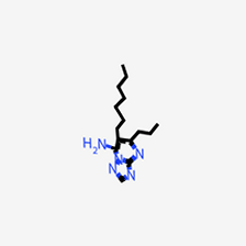 CCCCCCCc1c(CCC)nc2ncnn2c1N